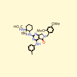 COc1ccc(CN2Cc3nc(NC4CCCCC4(NC(=O)O)C(C)(C)C)nc(Nc4cccc(C)c4)c3C2=O)c(OC)c1